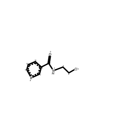 O=C(NCCCl)c1cbccc1